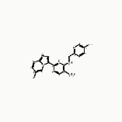 O=C(O)c1cnc(-c2cnc3ccc(F)cn23)nc1NCc1ccc(F)cn1